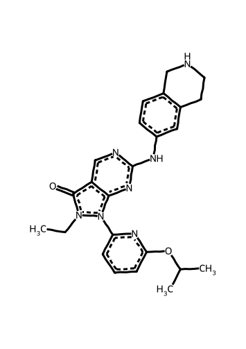 CCn1c(=O)c2cnc(Nc3ccc4c(c3)CCNC4)nc2n1-c1cccc(OC(C)C)n1